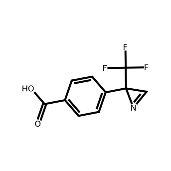 O=C(O)c1ccc(C2(C(F)(F)F)C=N2)cc1